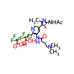 CC(=O)Nc1nc(C)c(-c2cnc(Cl)c(NC(=O)CCCN(C)C)c2)s1.O=C(O)C(F)(F)F.O=C(O)C(F)(F)F